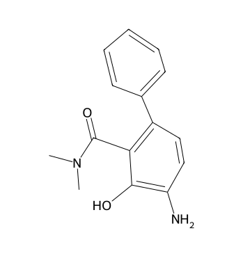 CN(C)C(=O)c1c(-c2ccccc2)ccc(N)c1O